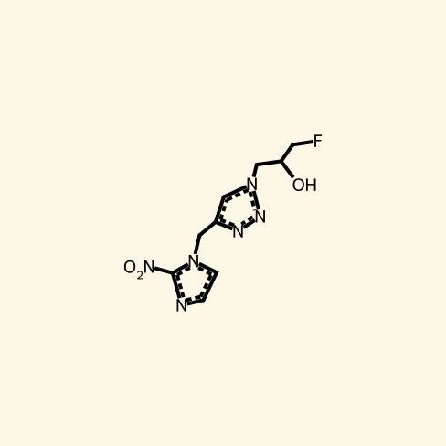 O=[N+]([O-])c1nccn1Cc1cn(CC(O)CF)nn1